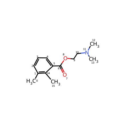 Cc1cccc(C(=O)OCCN(C)C)c1C